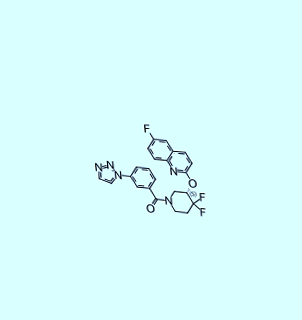 O=C(c1cccc(-n2ccnn2)c1)N1CCC(F)(F)[C@@H](Oc2ccc3cc(F)ccc3n2)C1